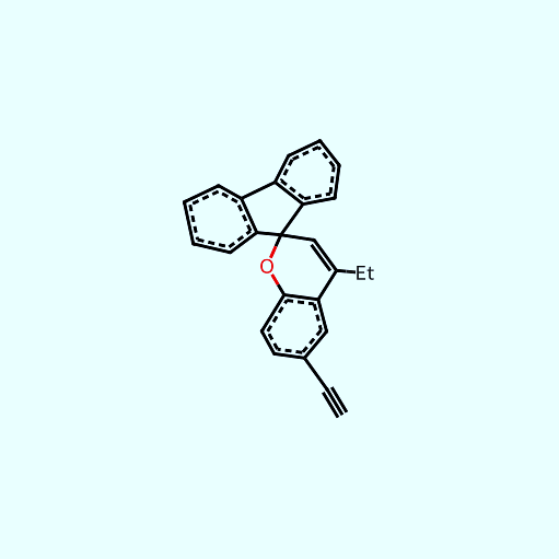 C#Cc1ccc2c(c1)C(CC)=CC1(O2)c2ccccc2-c2ccccc21